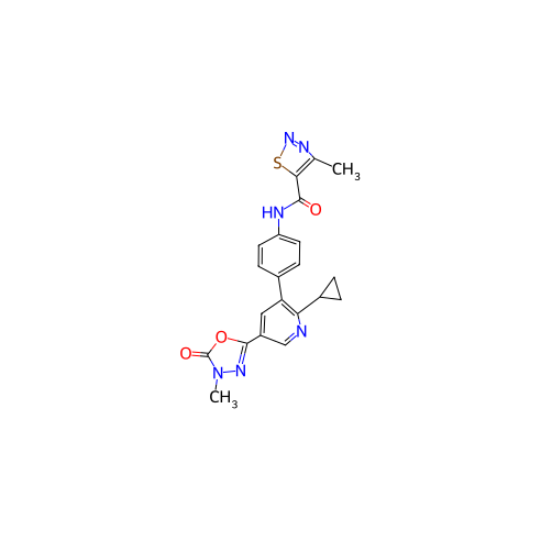 Cc1nnsc1C(=O)Nc1ccc(-c2cc(-c3nn(C)c(=O)o3)cnc2C2CC2)cc1